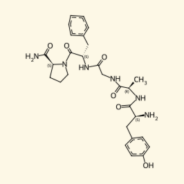 C[C@@H](NC(=O)[C@@H](N)Cc1ccc(O)cc1)C(=O)NCC(=O)N[C@@H](Cc1ccccc1)C(=O)N1CCC[C@H]1C(N)=O